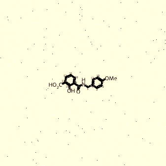 COc1ccc(CNC(=O)c2cccc(C(=O)O)c2O)cc1